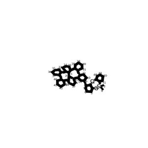 C[Si]1(C)Oc2cccc(-c3ccc4c(c3)c3cccc5c3-c3c(cccc3c3ccccc34)c3ccccc3c3ccccc53)c2Oc2ccccc21